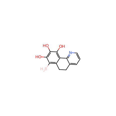 Bc1c(O)c(O)c(O)c2c1CCc1cccnc1-2